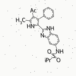 CC(=O)c1c(C)[nH]c(-c2nc3cc(NS(=O)(=O)C(C)C)ccc3[nH]2)c1-c1ccccc1